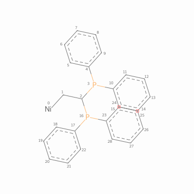 [Ni][CH2]C(P(c1ccccc1)c1ccccc1)P(c1ccccc1)c1ccccc1